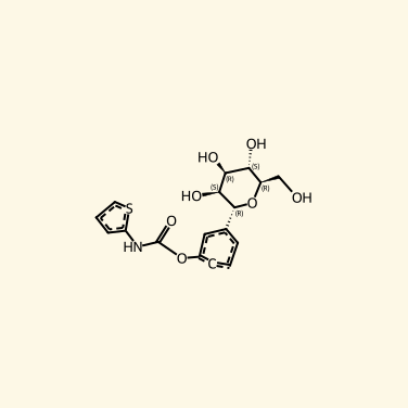 O=C(Nc1cccs1)Oc1cccc([C@H]2O[C@H](CO)[C@@H](O)[C@H](O)[C@@H]2O)c1